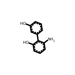 Nc1cccc(O)c1-c1cccc(O)c1